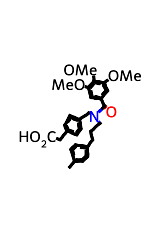 COc1cc(C(=O)N(CCCc2ccc(C)cc2)Cc2ccc(CC(=O)O)cc2)cc(OC)c1OC